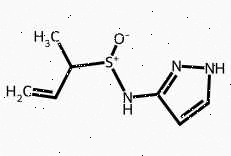 C=CC(C)[S+]([O-])Nc1cc[nH]n1